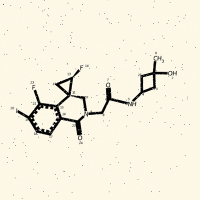 CC1(O)CC(NC(=O)CN2C[C@]3(C[C@H]3F)c3c(ccc(I)c3F)C2=O)C1